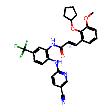 COc1cccc(/C=C/C(=O)Nc2cc(C(F)(F)F)ccc2Nc2ccc(C#N)cn2)c1OC1CCCC1